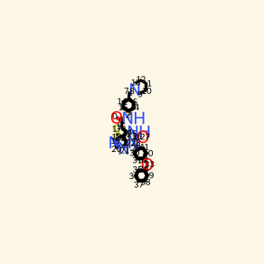 O=C(Nc1ccc(CN2CCCCC2)cc1)c1sc2ncnc3c2c1NC(=O)N3c1ccc(Oc2ccccc2)cc1